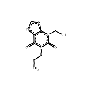 CCCn1c(=O)c2[nH]cnc2n(CC)c1=O